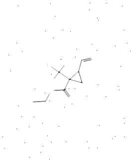 CCOC(=O)C1(C(F)(F)F)CC1C=O